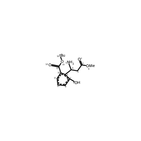 COC(=O)CC(N)c1c(O)cccc1C(=O)OC(C)(C)C